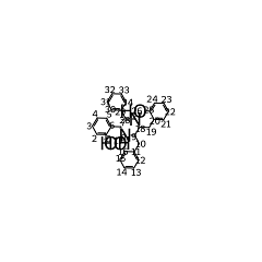 Oc1ccccc1/C=N/C(Cc1ccccc1O)C(Cc1ccccc1O)/N=C/c1ccccc1